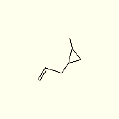 C=CCC1CC1C